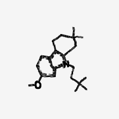 COc1ccc2c3c(n(CCC(C)(C)C)c2c1)CC(C)(C)CC3